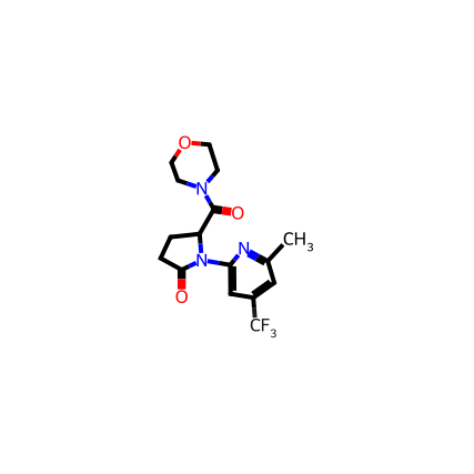 Cc1cc(C(F)(F)F)cc(N2C(=O)CCC2C(=O)N2CCOCC2)n1